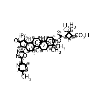 Cc1cnc(-c2nnc([C@@]34CC[C@]5(C)[C@H](CC[C@@H]6[C@@]7(C)CC[C@H](OC(=O)[C@H]8C[C@@H](C(=O)O)C8(C)C)C(C)(C)[C@@H]7CC[C@]65C)C3=C(C(C)C)C(=O)C4)o2)cn1